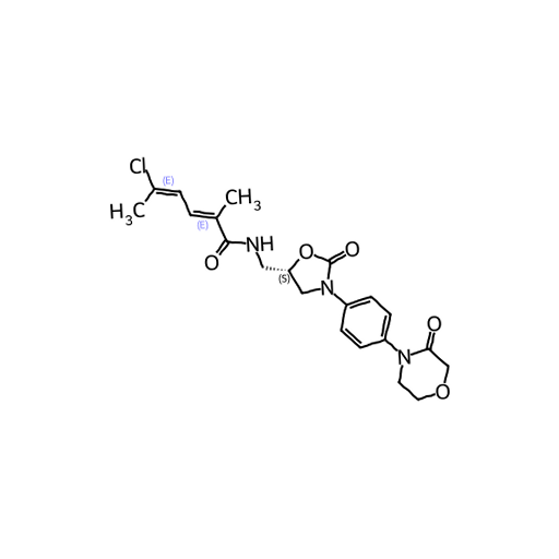 C/C(Cl)=C\C=C(/C)C(=O)NC[C@H]1CN(c2ccc(N3CCOCC3=O)cc2)C(=O)O1